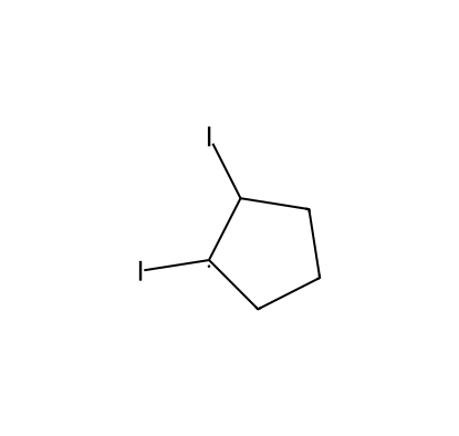 I[C]1CCCC1I